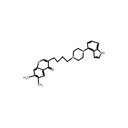 Cc1cc2occ(CCCCN3CCN(c4cccc5[nH]ccc45)CC3)c(=O)c2cc1C